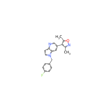 Cc1noc(C)c1-c1cnc2ccn(Cc3ccc(F)cc3)c2c1